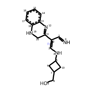 N=C/C(=C\NC1CC(CO)C1)C1=Nc2ccccc2NC1